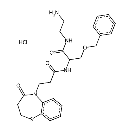 Cl.NCCNC(=O)C(COCc1ccccc1)NC(=O)CCN1C(=O)CCSc2ccccc21